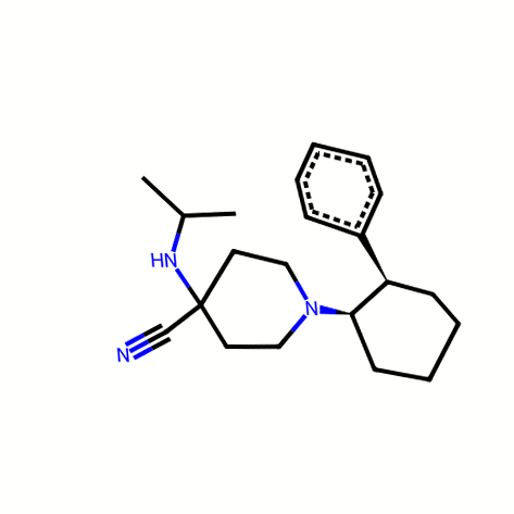 CC(C)NC1(C#N)CCN([C@@H]2CCCC[C@@H]2c2ccccc2)CC1